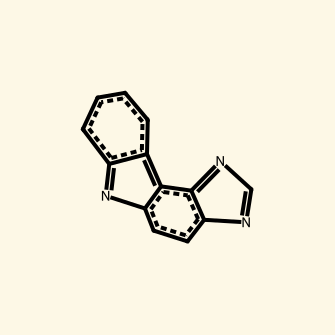 C1=Nc2ccc3c(c2=N1)=c1ccccc1=N3